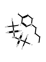 CCCCN1C=CC(C)=CC1.O=S(=O)(NS(=O)(=O)C(F)(F)F)C(F)(F)F